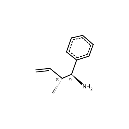 C=C[C@@H](C)[C@H](N)c1ccccc1